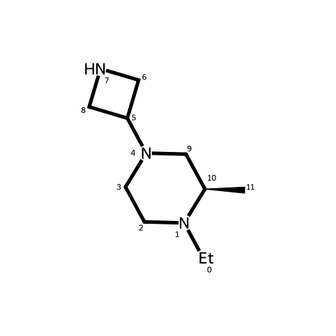 CCN1CCN(C2CNC2)C[C@H]1C